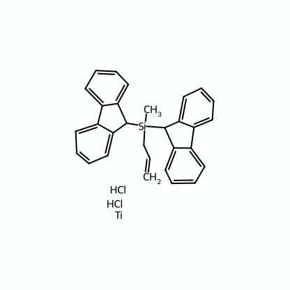 C=CC[Si](C)(C1c2ccccc2-c2ccccc21)C1c2ccccc2-c2ccccc21.Cl.Cl.[Ti]